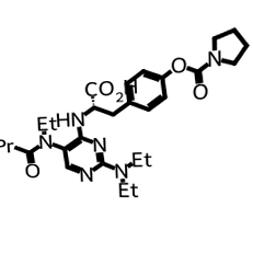 CCN(CC)c1ncc(N(CC)C(=O)C(C)C)c(N[C@@H](Cc2ccc(OC(=O)N3CCCC3)cc2)C(=O)O)n1